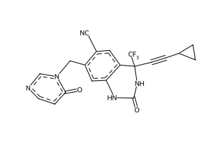 N#Cc1cc2c(cc1Cn1cnccc1=O)NC(=O)NC2(C#CC1CC1)C(F)(F)F